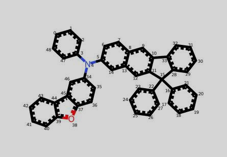 c1ccc(N(c2ccc3cc4c(cc3c2)C(c2ccccc2)(c2ccccc2)c2ccccc2-4)c2ccc3oc4ccccc4c3c2)cc1